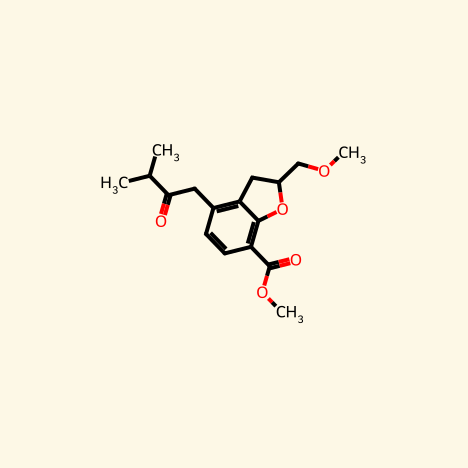 COCC1Cc2c(CC(=O)C(C)C)ccc(C(=O)OC)c2O1